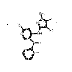 Bn1nc(Nc2cc(Br)ncc2C(=O)c2ccccc2C)c(N=O)c1C